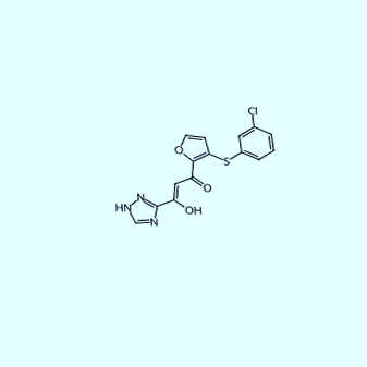 O=C(C=C(O)c1nc[nH]n1)c1occc1Sc1cccc(Cl)c1